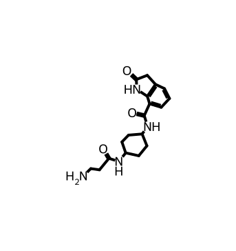 NCCC(=O)NC1CCC(NC(=O)c2cccc3c2NC(=O)C3)CC1